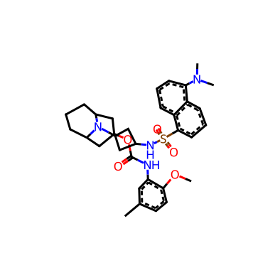 COc1ccc(C)cc1NC(=O)OC1CC2CCCC(C1)N2C1CC(NS(=O)(=O)c2cccc3c(N(C)C)cccc23)C1